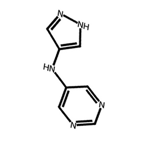 c1ncc(Nc2cn[nH]c2)cn1